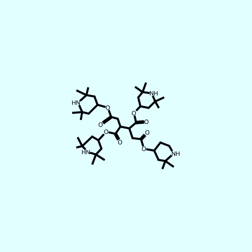 CC1(C)CC(OC(=O)CC(C(=O)OC2CC(C)(C)NC(C)(C)C2)C(CC(=O)OC2CC(C)(C)NC(C)(C)C2)C(=O)OC2CC(C)(C)NC(C)(C)C2)CCN1